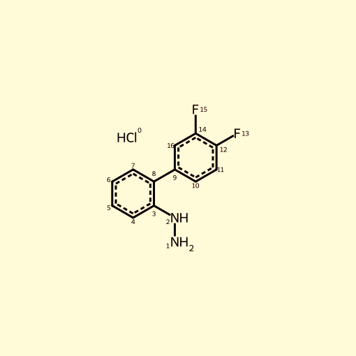 Cl.NNc1ccccc1-c1ccc(F)c(F)c1